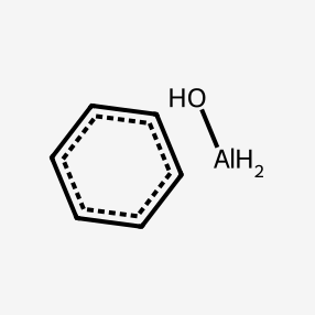 [OH][AlH2].c1ccccc1